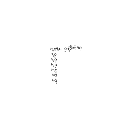 Cl.Cl.Cl.Cl.O.O.O.O.O.O.O.O